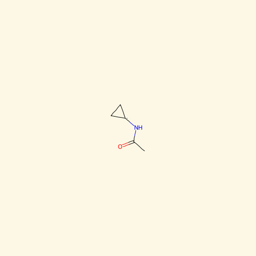 CC(=O)N[C]1CC1